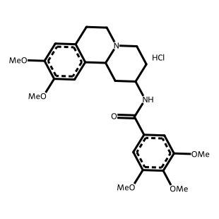 COc1cc2c(cc1OC)C1CC(NC(=O)c3cc(OC)c(OC)c(OC)c3)CCN1CC2.Cl